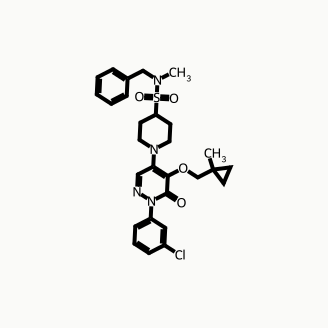 CN(Cc1ccccc1)S(=O)(=O)C1CCN(c2cnn(-c3cccc(Cl)c3)c(=O)c2OCC2(C)CC2)CC1